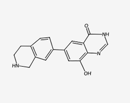 O=c1[nH]cnc2c(O)cc(-c3ccc4c(c3)CNCC4)cc12